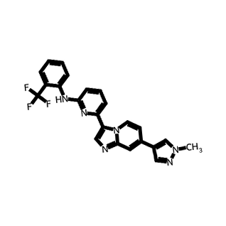 Cn1cc(-c2ccn3c(-c4cccc(Nc5ccccc5C(F)(F)F)n4)cnc3c2)cn1